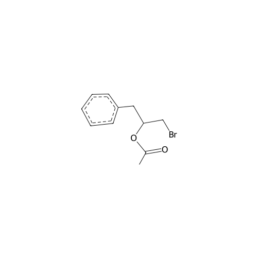 CC(=O)OC(CBr)Cc1ccccc1